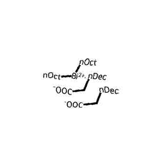 CCCCCCCCCCCC(=O)[O-].CCCCCCCCCCCC(=O)[O-].CCCCCCC[CH2][Bi+2][CH2]CCCCCCC